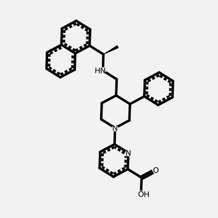 C[C@@H](NCC1CCN(c2cccc(C(=O)O)n2)CC1c1ccccc1)c1cccc2ccccc12